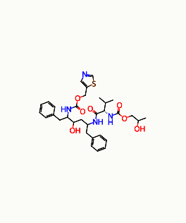 CC(O)COC(=O)N[C@H](C(=O)NC(Cc1ccccc1)CC(O)C(Cc1ccccc1)NC(=O)OCc1cncs1)C(C)C